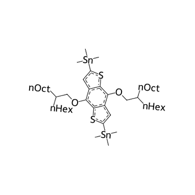 CCCCCCCCC(CCCCCC)COc1c2c[c]([Sn]([CH3])([CH3])[CH3])sc2c(OCC(CCCCCC)CCCCCCCC)c2c[c]([Sn]([CH3])([CH3])[CH3])sc12